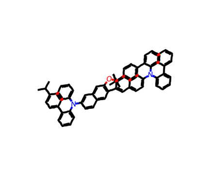 CC(C)c1ccc(-c2ccccc2N(c2ccccc2)c2ccc3cc4c(cc3c2)oc2cc3cc(N(c5ccccc5-c5ccccc5)c5ccccc5-c5ccc(C(C)(C)C)cc5)ccc3cc24)cc1